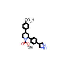 CC(C)(C)OC(=O)N1CCC(c2ccc(C(=O)O)cc2)CC1c1ccc(-c2cn[nH]c2)cc1